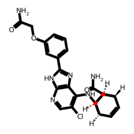 NC(=O)COc1cccc(-c2nc3c(N[C@H]4[C@@H](C(N)=O)[C@@H]5C=C[C@H]4CC5)c(Cl)cnc3[nH]2)c1